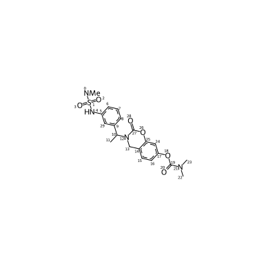 CNS(=O)(=O)Nc1cccc(C(C)N2Cc3ccc(OC(=O)N(C)C)cc3OC2=O)c1